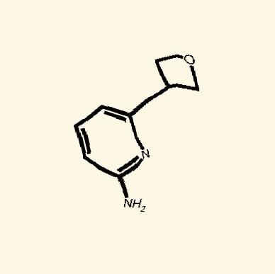 Nc1cccc(C2COC2)n1